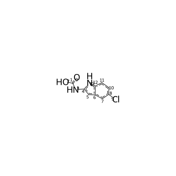 O=C(O)Nc1cc2cc(Cl)ccc2[nH]1